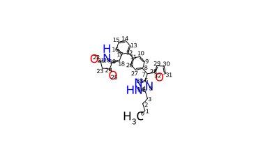 CCCCc1nc(C(c2ccc(-c3ccccc3/C=C3\NC(=O)CC3=O)cc2)c2ccco2)n[nH]1